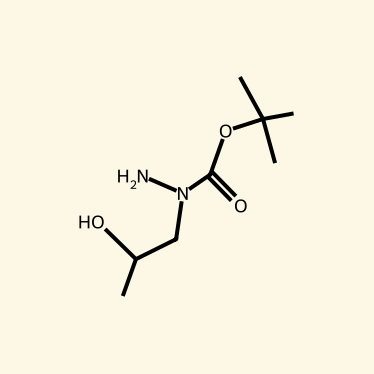 CC(O)CN(N)C(=O)OC(C)(C)C